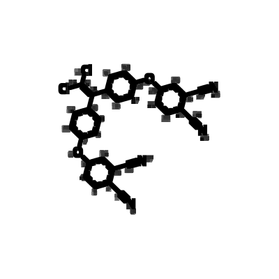 N#Cc1ccc(Oc2ccc(C(=C(Cl)Cl)c3ccc(Oc4ccc(C#N)c(C#N)c4)cc3)cc2)cc1C#N